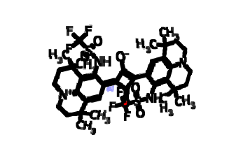 CC1(C)CCN2CCC(C)(C)c3c(NS(=O)(=O)C(F)(F)F)c(C4=C([O-])/C(=c5/cc6c7c(c5NS(=O)(=O)C(F)(F)F)C(C)(C)CC[N+]=7CCC6(C)C)C4=O)cc1c32